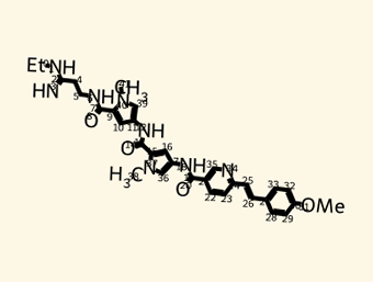 CCNC(=N)CCNC(=O)c1cc(NC(=O)c2cc(NC(=O)c3ccc(/C=C/c4ccc(OC)cc4)nc3)cn2C)cn1C